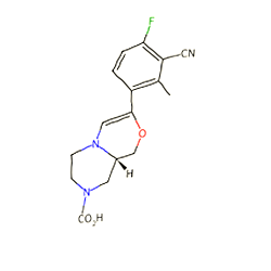 Cc1c(C2=CN3CCN(C(=O)O)C[C@H]3CO2)ccc(F)c1C#N